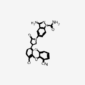 N#Cc1cccc(Cl)c1Oc1cc(C2CC(=O)N(c3ccc4c(c3)c(N)nn4C(N)=O)C2)ccc1Cl